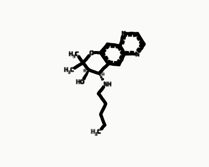 CCCCCN[C@H]1c2cc3nccnc3cc2OC(C)(C)[C@@H]1O